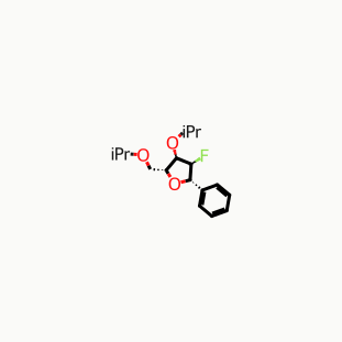 CC(C)OC[C@H]1O[C@@H](c2ccccc2)[C@H](F)[C@@H]1OC(C)C